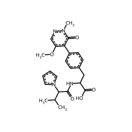 COc1cnn(C)c(=O)c1-c1ccc(CC(NC(=O)C(C(C)C)n2cccc2)C(=O)O)cc1